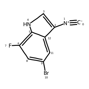 [C-]#[N+]c1c[nH]c2c(F)cc(Br)cc12